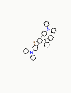 C1=CC(C2(c3ccccc3)c3cc(N(c4ccccc4)c4ccccc4)ccc3-c3cc4c(cc32)C2=CC=C(N(c3ccccc3)c3ccccc3)CC2S4)=CCC1